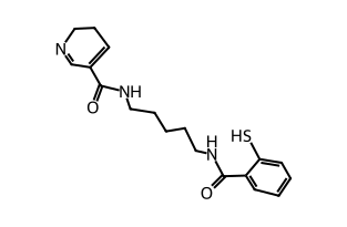 O=C(NCCCCCNC(=O)c1ccccc1S)C1=CCCN=C1